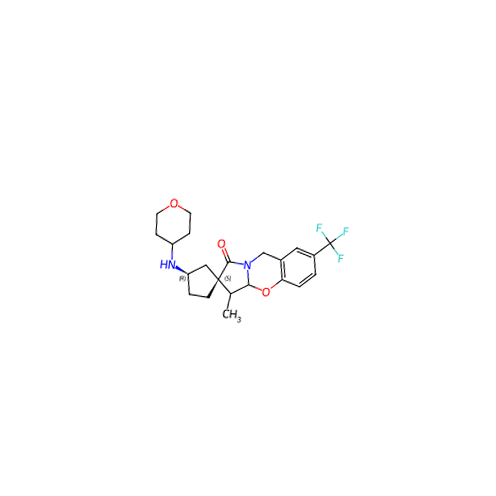 CC1C2Oc3ccc(C(F)(F)F)cc3CN2C(=O)[C@]12CC[C@@H](NC1CCOCC1)C2